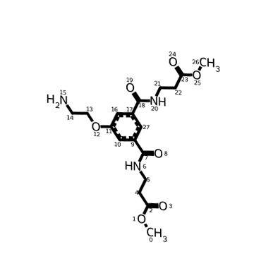 COC(=O)CCNC(=O)c1cc(OCCN)cc(C(=O)NCCC(=O)OC)c1